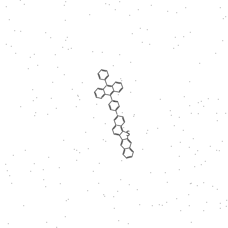 c1ccc(-c2c3ccccc3c(-c3ccc(-c4ccc5c(ccc6c7cc8ccccc8cc7sc56)c4)cc3)c3ccccc23)cc1